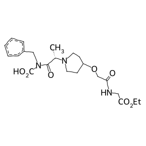 CCOC(=O)CNC(=O)COC1CCN([C@@H](C)C(=O)N(Cc2ccccc2)C(=O)O)CC1